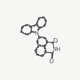 O=C1NC(=O)c2cc(-n3c4ccccc4c4ccccc43)cc3cccc1c23